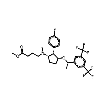 COC(=O)CCCN(C)[C@@H]1CC[C@H](O[C@H](C)c2cc(C(F)(F)F)cc(C(F)(F)F)c2)[C@H]1c1ccc(F)cc1